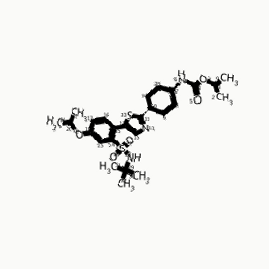 CC(C)OC(=O)N[C@H]1CC[C@H](c2ncc(-c3ccc(OC(C)C)cc3S(=O)(=O)NC(C)(C)C)s2)CC1